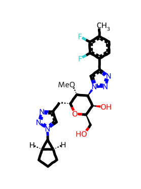 CO[C@@H]1[C@@H](n2cc(-c3ccc(C)c(F)c3F)nn2)[C@@H](O)[C@@H](CO)O[C@@H]1Cc1cn(C2[C@H]3CCC[C@@H]23)nn1